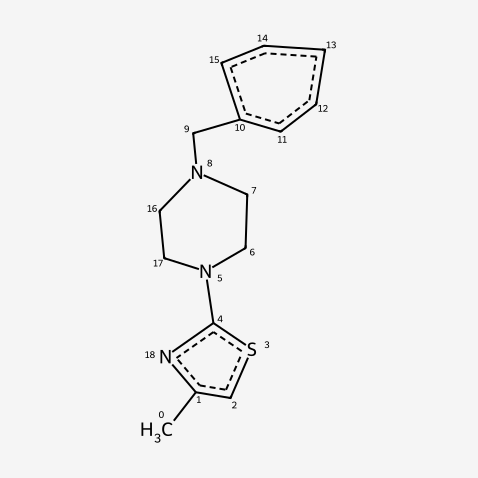 Cc1csc(N2CCN(Cc3ccccc3)CC2)n1